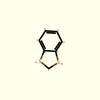 [c]1ccc2c(c1)SCS2